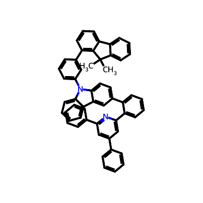 CC1(C)c2ccccc2-c2cccc(-c3cccc(-n4c5ccccc5c5cc(-c6ccccc6-c6cc(-c7ccccc7)cc(-c7ccccc7)n6)ccc54)c3)c21